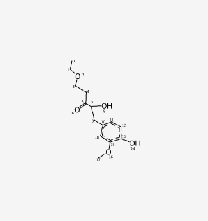 CCOCCC(=O)C(O)Cc1ccc(O)c(OC)c1